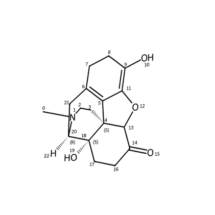 CN1CC[C@]23C4=C5CCC(O)=C4OC2C(=O)CC[C@@]3(O)[C@H]1C5